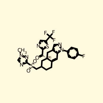 Cn1cnc(S(=O)(=O)CC2CCC3=Cc4c(cnn4-c4ccc(F)cc4)C[C@]3(C(=O)c3ncc(C(F)(F)F)s3)C2)n1